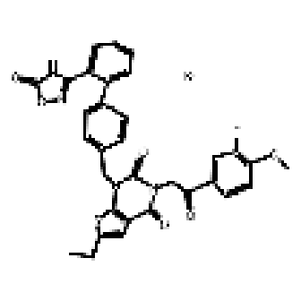 CCc1cc2c(=O)n(CC(=O)c3ccc(OC)c(F)c3)c(=O)n(Cc3ccc(-c4ccccc4-c4noc(=O)[nH]4)cc3)c2s1.[K]